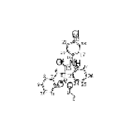 CCOC(=O)C(Cc1ccccc1)(C(=O)Nc1ccc(Cl)cc1)c1ccccc1